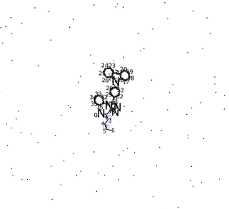 C=N/C(=C\C=C/C)c1nnc(-c2ccc(-n3c4ccccc4c4ccccc43)cc2)n1-c1ccccc1